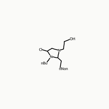 CCCCCCCCCCC1N(CCO)CC(Cl)N1CCCC